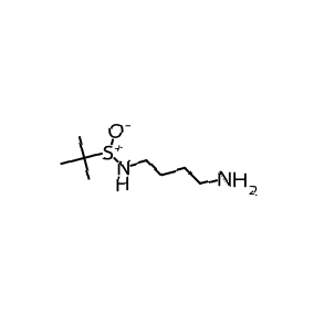 CC(C)(C)[S+]([O-])NCCCCN